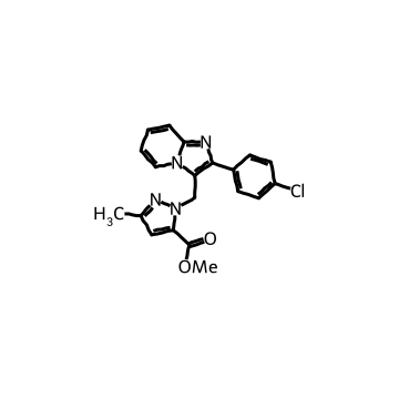 COC(=O)c1cc(C)nn1Cc1c(-c2ccc(Cl)cc2)nc2ccccn12